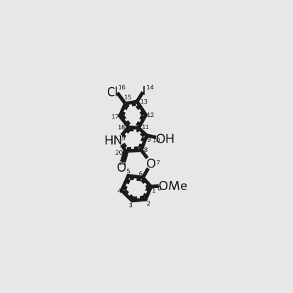 COc1ccccc1Oc1c(O)c2cc(I)c(Cl)cc2[nH]c1=O